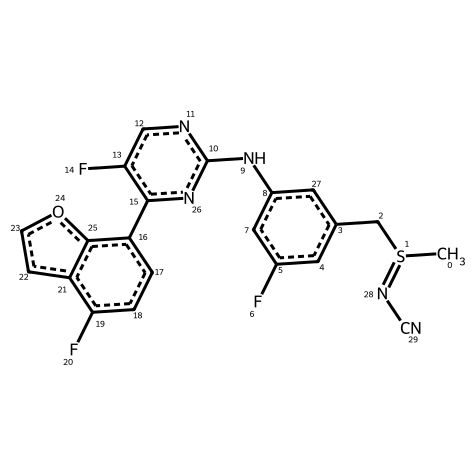 CS(Cc1cc(F)cc(Nc2ncc(F)c(-c3ccc(F)c4ccoc34)n2)c1)=NC#N